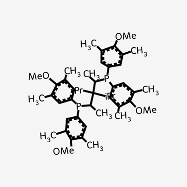 COc1c(C)cc(P(c2cc(C)c(OC)c(C)c2)C(C)C(C(C)C)(C(C)C)C(C)P(c2cc(C)c(OC)c(C)c2)c2cc(C)c(OC)c(C)c2)cc1C